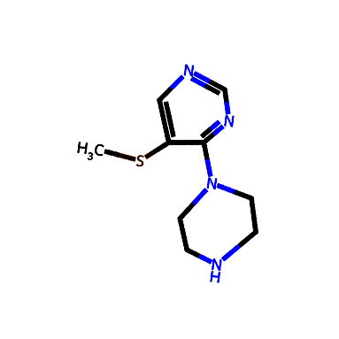 CSc1cncnc1N1CCNCC1